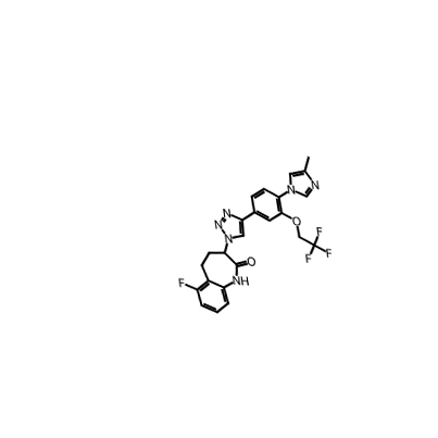 Cc1cn(-c2ccc(-c3cn(C4CCc5c(F)cccc5NC4=O)nn3)cc2OCC(F)(F)F)cn1